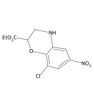 CCOC(=O)C1CNc2cc([N+](=O)[O-])cc(Cl)c2O1